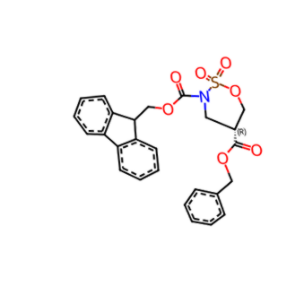 O=C(OCc1ccccc1)[C@H]1COS(=O)(=O)N(C(=O)OCC2c3ccccc3-c3ccccc32)C1